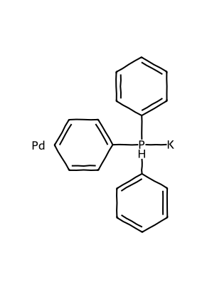 [K][PH](c1ccccc1)(c1ccccc1)c1ccccc1.[Pd]